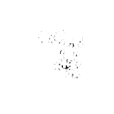 CC(=O)OCC1OC(Oc2cccc(-c3c4nc(c(-c5cccc(C)c5)c5ccc([nH]5)c(-c5cccc(OC6OC(COC(C)=O)C(OC(C)=O)C(OC(C)=O)C6OC(C)=O)c5)c5nc(c(-c6cccc(C)c6)c6ccc3[nH]6)C=C5)C=C4)c2)C(OC(C)=O)C(OC(C)=O)C1OC(C)=O